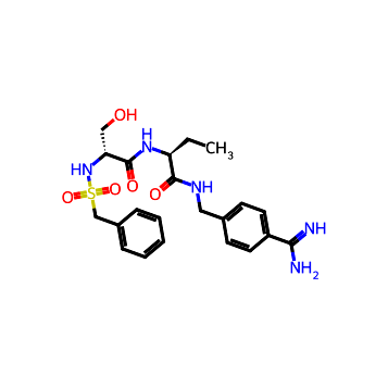 CC[C@H](NC(=O)[C@@H](CO)NS(=O)(=O)Cc1ccccc1)C(=O)NCc1ccc(C(=N)N)cc1